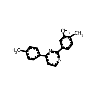 Cc1ccc(-c2ccnc(-c3ccc(C)c(C)c3)n2)cc1